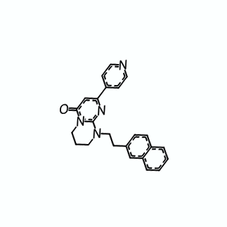 O=c1cc(-c2ccncc2)nc2n1CCCN2CCc1ccc2ccccc2c1